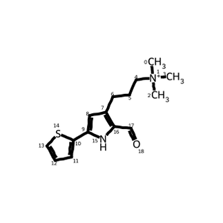 C[N+](C)(C)CCCc1cc(-c2cccs2)[nH]c1C=O